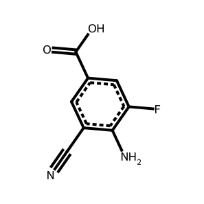 N#Cc1cc(C(=O)O)cc(F)c1N